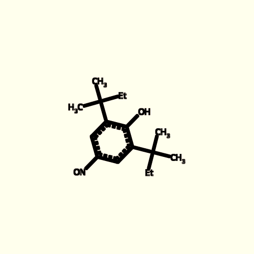 CCC(C)(C)c1cc(N=O)cc(C(C)(C)CC)c1O